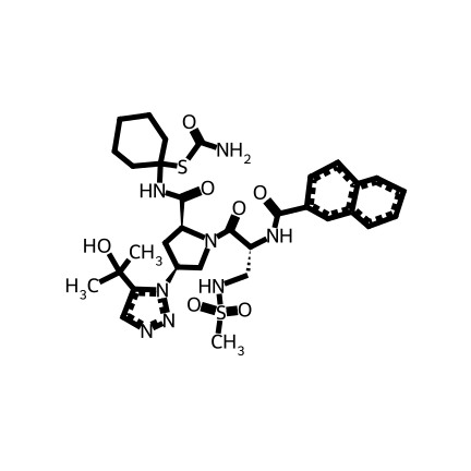 CC(C)(O)c1cnnn1[C@H]1C[C@@H](C(=O)NC2(SC(N)=O)CCCCC2)N(C(=O)[C@@H](CNS(C)(=O)=O)NC(=O)c2ccc3ccccc3c2)C1